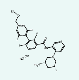 CCOCc1cc(F)c(-c2c(F)ccc(C(=O)Nc3cnccc3N3C[C@H](C)C[C@H](N)C3)c2F)c(F)c1.Cl.Cl